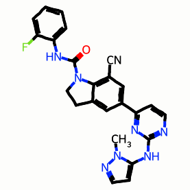 Cn1nccc1Nc1nccc(-c2cc(C#N)c3c(c2)CCN3C(=O)Nc2ccccc2F)n1